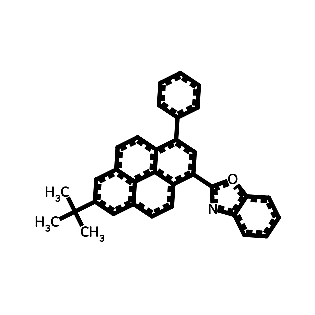 CC(C)(C)c1cc2ccc3c(-c4ccccc4)cc(-c4nc5ccccc5o4)c4ccc(c1)c2c34